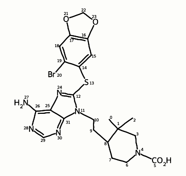 CC1(C)CN(C(=O)O)CCC1CCn1c(Sc2cc3c(cc2Br)OCO3)nc2c(N)ncnc21